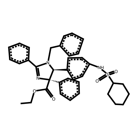 CCOC(=O)[C@@]1(c2ccccc2)N=C(c2ccccc2)N(Cc2ccccc2)[C@H]1c1ccc(NS(=O)(=O)C2CCCCC2)cc1